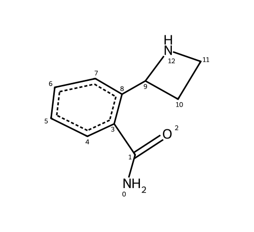 NC(=O)c1ccccc1C1CCN1